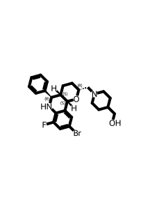 OCC1CCN(C[C@H]2CC[C@@H]3[C@H](O2)c2cc(Br)cc(F)c2N[C@H]3c2ccccc2)CC1